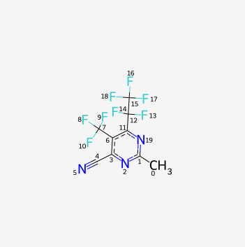 Cc1nc(C#N)c(C(F)(F)F)c(C(F)(F)C(F)(F)F)n1